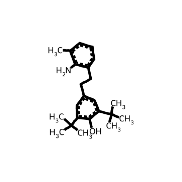 Cc1cccc(CCc2cc(C(C)(C)C)c(O)c(C(C)(C)C)c2)c1N